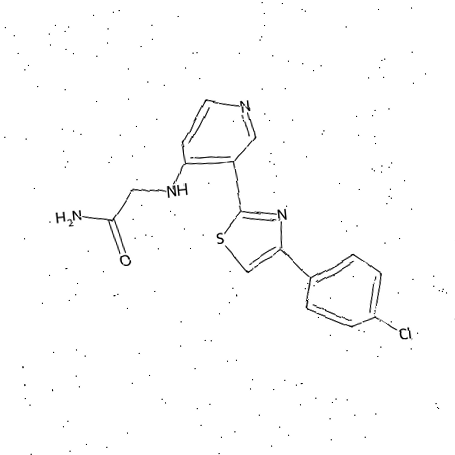 NC(=O)CNc1ccncc1-c1nc(-c2ccc(Cl)cc2)cs1